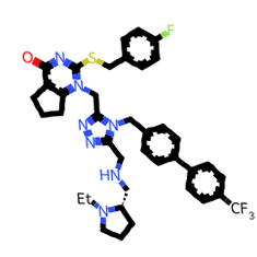 CCN1CCC[C@H]1CNCc1nnc(Cn2c(SCc3ccc(F)cc3)nc(=O)c3c2CCC3)n1Cc1ccc(-c2ccc(C(F)(F)F)cc2)cc1